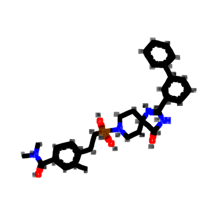 Cc1cc(C(=O)N(C)C)ccc1CCS(=O)(=O)N1CCC2(CC1)N=C(c1cccc(-c3ccccc3)c1)NC2=O